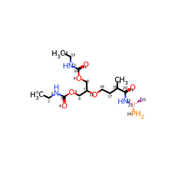 CCNC(=O)OCC(COC(=O)NCC)OCCC(C)C(=O)NB(P)I